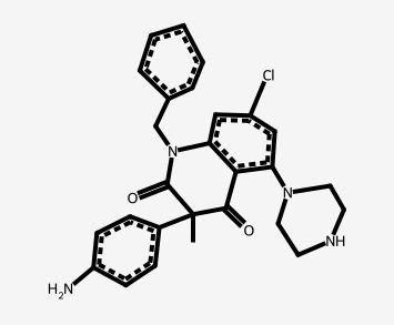 CC1(c2ccc(N)cc2)C(=O)c2c(N3CCNCC3)cc(Cl)cc2N(Cc2ccccc2)C1=O